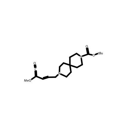 COC(=C=O)/C=C/CN1CCC2(CC1)CCN(C(=O)OC(C)(C)C)CC2